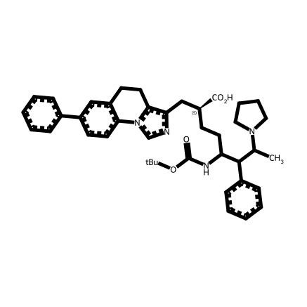 CC(C(c1ccccc1)C(CC[C@@H](Cc1ncn2c1CCc1cc(-c3ccccc3)ccc1-2)C(=O)O)NC(=O)OC(C)(C)C)N1CCCC1